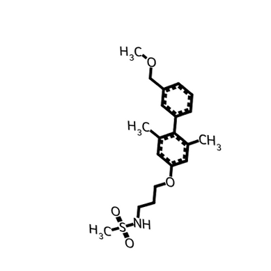 COCc1cccc(-c2c(C)cc(OCCCNS(C)(=O)=O)cc2C)c1